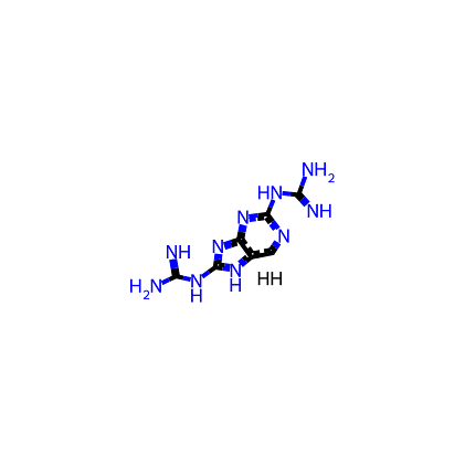 N=C(N)Nc1ncc2[nH]c(NC(=N)N)nc2n1.[HH]